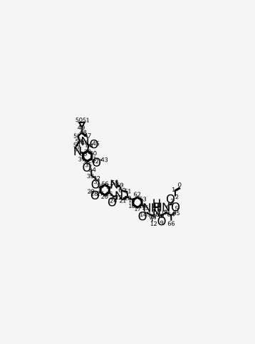 C=CCOC(=O)N[C@H](C(=O)N[C@@H](C)C(=O)Nc1ccc(C2=CN3C(=O)c4cc(OC)c(OCCCOc5cc6c(cc5OC)C(=O)N5C=C(C7CC7)CC5C=N6)cc4N=CC3C2)cc1)C(C)C